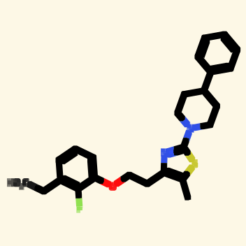 Cc1sc(N2CCC(c3ccccc3)CC2)nc1CCOc1cccc(CC(=O)O)c1F